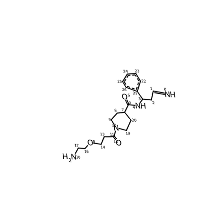 N=CCC(NC(=O)C1CCN(C(=O)CCOCCN)CC1)c1ccccc1